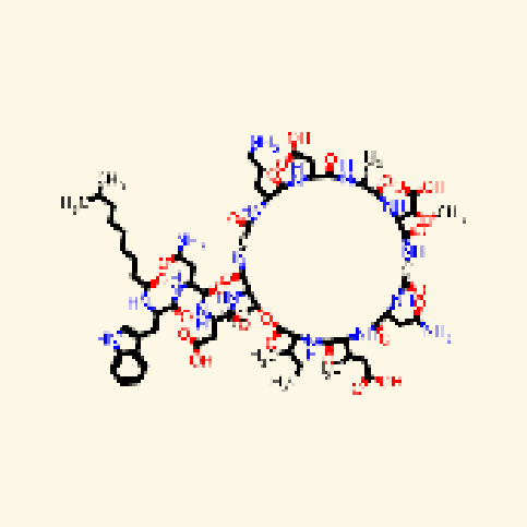 CCC(C)C1NC(=O)C(C(C)CC(=O)O)NC(=O)C(CC(N)=O)NC(=O)CNC(=O)C(C(OC)C(=O)O)NC(=O)C(C)NC(=O)C(CC(=O)O)NC(=O)C(CCCN)NC(=O)CNC(=O)C(NC(=O)C(CC(=O)O)NC(=O)C(CC(N)=O)NC(=O)C(Cc2c[nH]c3ccccc23)NC(=O)CCCCCCC(C)C)C(C)OC1=O